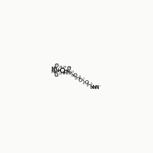 [N-]=[N+]=NCCOCCOCCOCCNC(=O)c1ccc(N2C(=O)N=NC2=O)cc1